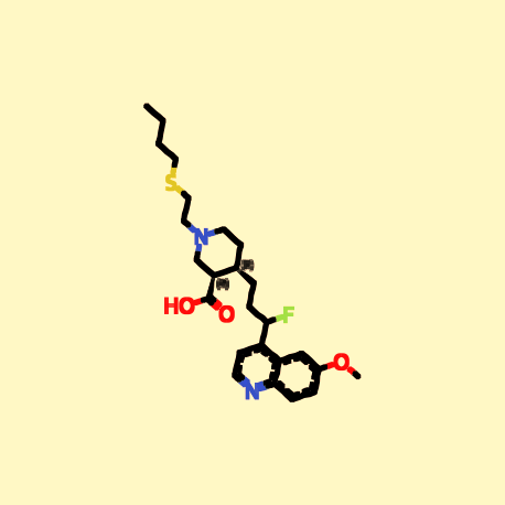 CCCCSCCN1CC[C@@H](CCC(F)c2ccnc3ccc(OC)cc23)[C@@H](C(=O)O)C1